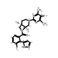 Cc1nc(N2CC[C@@H]3CN(C(=O)c4cccc(F)c4-c4ccn[nH]4)[C@@H]3C2)nc(C)c1F